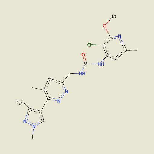 CCOc1nc(C)cc(NC(=O)NCc2cc(C)c(-c3cn(C)nc3C(F)(F)F)nn2)c1Cl